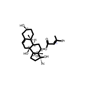 CC(=O)[C@]1(O)CC[C@@]2(O)[C@]1(C)[C@H](OC(=O)/C=C(\C)C(C)C)C[C@@H]1[C@@]3(C)CC[C@H](O)CC3=CC[C@]12O